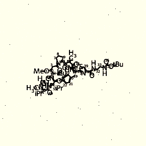 CC[C@H](C)[C@@H]([C@@H](CC(=O)N1CCC[C@H]1[C@H](OC)[C@@H](C)C(=O)N[C@@H](Cc1ccccc1)c1nc(C(=O)NCCNC(=O)OC(C)(C)C)cs1)OC)N(C)C(=O)[C@@H](NC(=O)[C@H](C(C)C)N(C)C)C(C)C